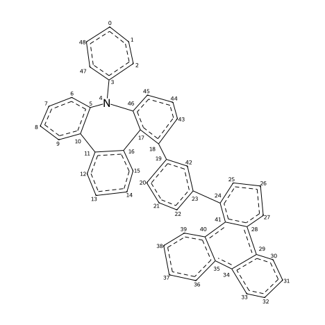 c1ccc(N2c3ccccc3-c3ccccc3-c3c(-c4cccc(-c5cccc6c7ccccc7c7ccccc7c56)c4)cccc32)cc1